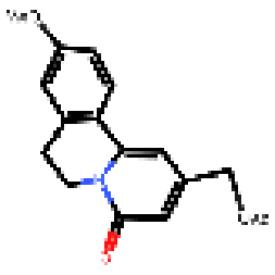 COc1ccc2c(c1)CCn1c-2cc(COC(C)=O)cc1=O